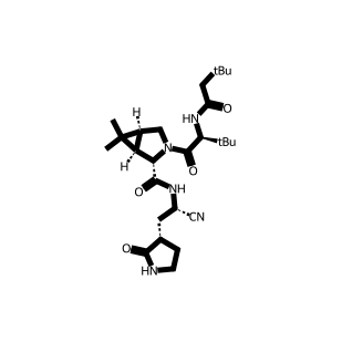 CC(C)(C)CC(=O)N[C@H](C(=O)N1C[C@H]2[C@@H]([C@H]1C(=O)N[C@H](C#N)C[C@@H]1CCNC1=O)C2(C)C)C(C)(C)C